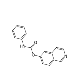 O=C(Nc1ccccc1)Oc1ccc2cnccc2c1